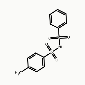 Cc1ccc(S(=O)(=O)NS(=O)(=O)c2ccccc2)cc1